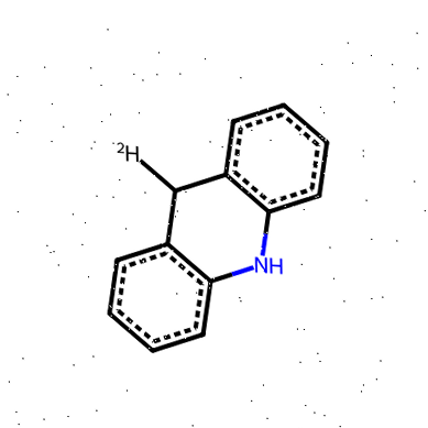 [2H]C1c2ccccc2Nc2ccccc21